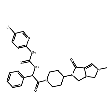 CN1C=C2C(=O)N(C3CCN(C(=O)C(NC(=O)Nc4ncc(Cl)cn4)c4ccccc4)CC3)CN2C1